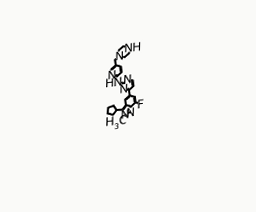 Cn1nc2c(F)cc(-c3ccnc(Nc4ccc(CN5CCNCC5)cn4)n3)cc2c1C1CCCC1